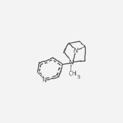 CN1CC2CC(C1)N2Cc1cccnc1